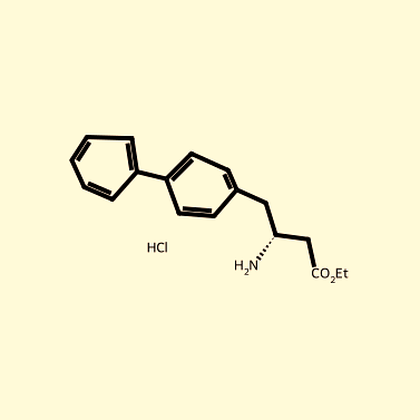 CCOC(=O)C[C@H](N)Cc1ccc(-c2ccccc2)cc1.Cl